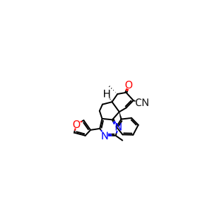 Cc1nc(-c2ccoc2)c2c(n1)[C@@]1(c3ccccc3)C=C(C#N)C(=O)[C@@H](C)[C@@H]1CC2